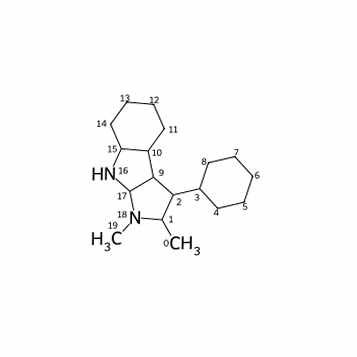 CC1C(C2CCCCC2)C2C3CCCCC3NC2N1C